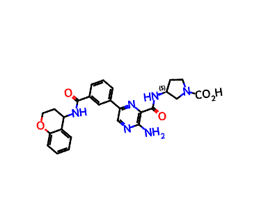 Nc1ncc(-c2cccc(C(=O)NC3CCOc4ccccc43)c2)nc1C(=O)N[C@H]1CCN(C(=O)O)C1